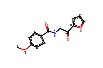 COc1ccc(C(=O)NCC(=O)c2ccco2)cc1